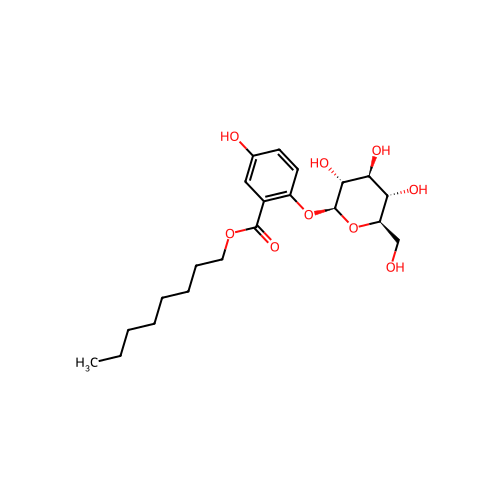 CCCCCCCCOC(=O)c1cc(O)ccc1O[C@@H]1O[C@H](CO)[C@@H](O)[C@H](O)[C@H]1O